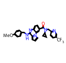 COc1ccc(CNc2nc3ccc(C(=O)N(Cc4ccc(C(F)(F)F)cn4)C4CC4)cc3n3cccc23)cc1